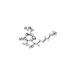 CCCC=CC=CC=C(C)C1OCC(C)C(OC)C1OC(=O)CN